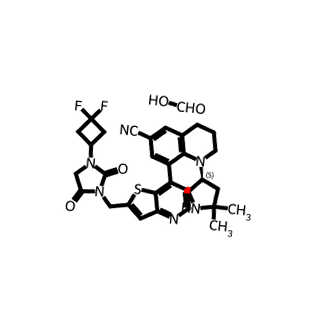 CC1(C)C[C@H](N2CCCc3cc(C#N)cc(-c4ccnc5cc(CN6C(=O)CN(C7CC(F)(F)C7)C6=O)sc45)c32)CN1.O=CO